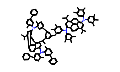 Cc1ccc(-c2ccccc2)cc1N1c2cc(ccc2C)-c2cc(Cc3cc(N(c4cc(C)c(C)c(C)c4)c4cc(C(C)C)c5ccc6c(N(c7cc(C)c(C)c(C)c7)c7cc(C)c(C)c(C)c7)cc(C(C)C)c7ccc4c5c76)cc(C)c3C)cc(c2)C(C)c2cc(N(c3cc(-c4ccccc4)ccc3C)c3cc(-c4ccccc4)ccc3C)c3ccc4c(C(C)C)cc1c1ccc2c3c41